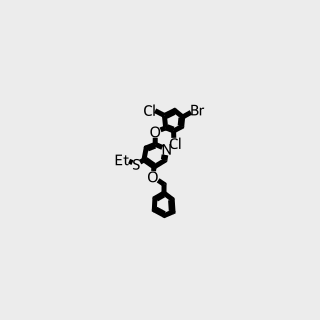 CCSc1cc(Oc2c(Cl)cc(Br)cc2Cl)ncc1OCc1ccccc1